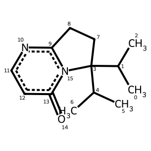 CC(C)C1(C(C)C)CCc2nccc(=O)n21